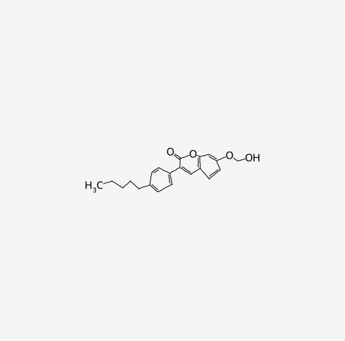 CCCCCc1ccc(-c2cc3ccc(OCO)cc3oc2=O)cc1